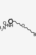 NC(=O)Nc1cccc(CCCCOCCCCCCBr)c1